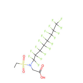 CCS(=O)(=O)N(CC(=O)O)C(F)(F)C(F)(F)C(F)(F)C(F)(F)C(F)(F)C(F)(F)C(F)(F)C(F)(F)F